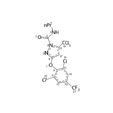 CCCNC(=O)n1nc(Oc2c(Cl)cc(C(F)(F)F)cc2Cl)cc1C(Cl)(Cl)Cl